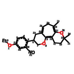 CCOc1ccc(C2COC3=C4CCC(C)(C)OC4=C(C)CC=C3C2)c(N=O)c1